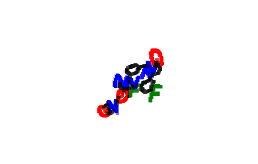 O=c1ccc(-c2cc(F)cc(F)c2)nn1Cc1cccc(-c2ncc(OCCN3CCOCC3)cn2)c1